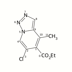 CCOC(=O)c1c(Cl)cn2nncc2c1C